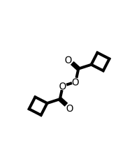 O=C(OOC(=O)C1CCC1)C1CCC1